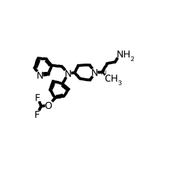 C[C@H](CCN)N1CCC(N(Cc2cccnc2)c2ccc(OC(F)F)cc2)CC1